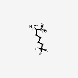 CC(CCCCC(F)(F)F)[SH](=O)=O